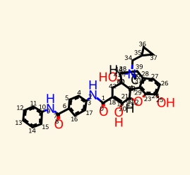 O=C(Nc1ccc(C(=O)Nc2ccccc2)cc1)C1=C(O)[C@@H]2Oc3c(O)ccc4c3[C@@]23CCN(CC2CC2)[C@H](C4)[C@]3(O)C1